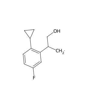 [CH2]C(CO)c1cc(F)ccc1C1CC1